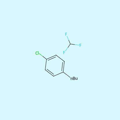 CCCCc1ccc(Cl)cc1.FC(F)F